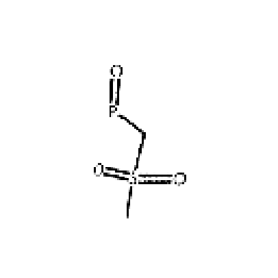 CS(=O)(=O)CP=O